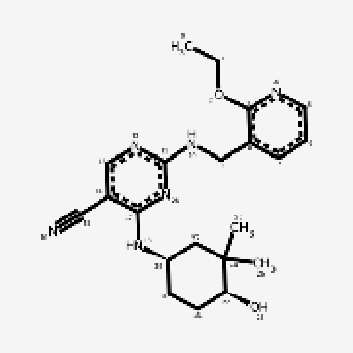 CCOc1ncccc1CNc1ncc(C#N)c(N[C@@H]2CC[C@H](O)C(C)(C)C2)n1